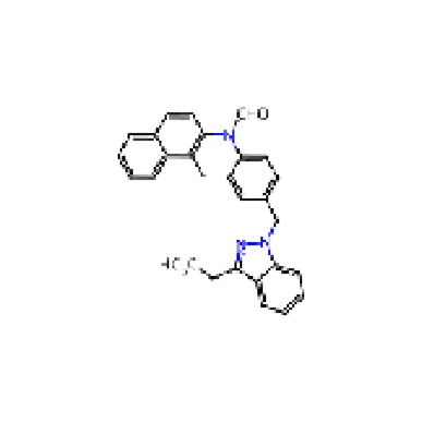 Cc1c(N(C=O)c2ccc(Cn3nc(CC(=O)O)c4ccccc43)cc2)ccc2ccccc12